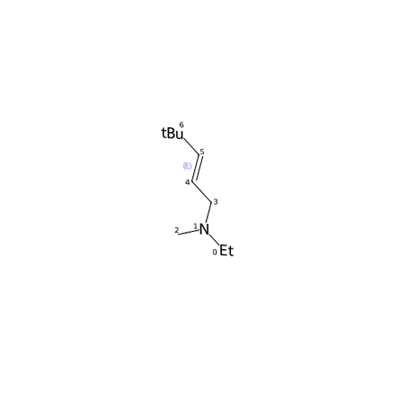 CCN(C)C/C=C/C(C)(C)C